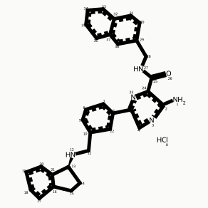 Cl.Nc1ncc(-c2cccc(CN[C@H]3CCc4ccccc43)c2)nc1C(=O)NCc1ccc2ccccc2c1